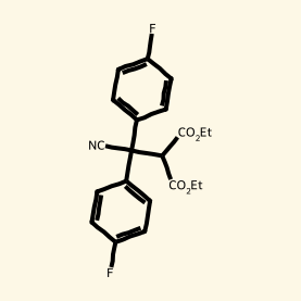 CCOC(=O)C(C(=O)OCC)C(C#N)(c1ccc(F)cc1)c1ccc(F)cc1